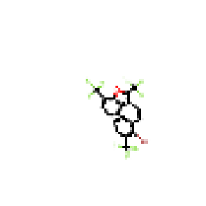 FC(F)(F)c1cccc(/C=C\c2c(C(F)(F)F)oc3c(C(F)(F)F)cccc23)c1Br